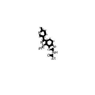 CCC(=O)Nc1nc2c(s1)-c1c(c(-c3ccc(C)nc3)nn1C(C)C)CC2